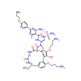 Cc1nc(-c2ccc(OCCC(C)(C)C)nc2)nc(N)c1C(=O)N[C@@H](CNS(N)(=O)=O)C(=O)N(C)[C@@H]1C(=O)N[C@@H](C)C(=O)N[C@H](C(=O)O)Cc2ccc(OCCCN)c(c2)-c2cc1cc(OCCCN)c2O